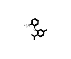 Cc1ccc(C(C)C)c(Oc2ccccc2N)c1